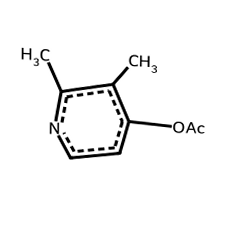 CC(=O)Oc1ccnc(C)c1C